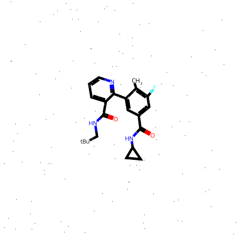 Cc1c(F)cc(C(=O)NC2CC2)cc1-c1ncccc1C(=O)NCC(C)(C)C